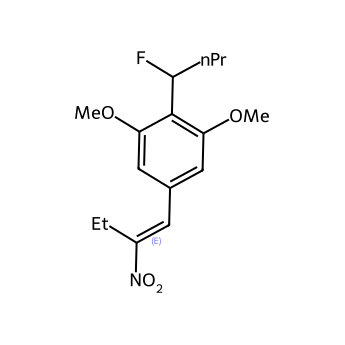 [CH2]CCC(F)c1c(OC)cc(/C=C(\CC)[N+](=O)[O-])cc1OC